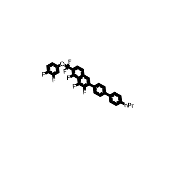 CCCc1ccc(-c2ccc(-c3cc4ccc(C(F)(F)Oc5ccc(F)c(F)c5)c(F)c4c(F)c3F)cc2)cc1